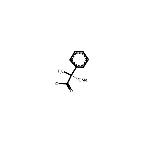 CO[C@@](C(=O)Cl)(c1ccccc1)C(F)(F)F